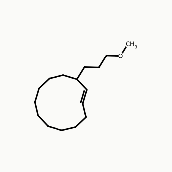 COCCCC1/C=C/CCCCCCCCC1